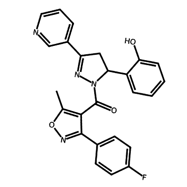 Cc1onc(-c2ccc(F)cc2)c1C(=O)N1N=C(c2cccnc2)CC1c1ccccc1O